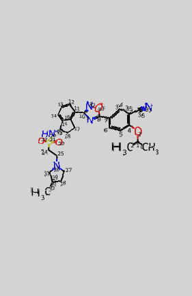 CC(C)Oc1ccc(-c2nc(-c3cccc4c3CC[C@H]4NS(=O)(=O)CCN3CC[C@@H](C)C3)no2)cc1C#N